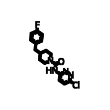 O=C(Nc1ccc(Cl)nn1)N1CCC(Cc2ccc(F)cc2)CC1